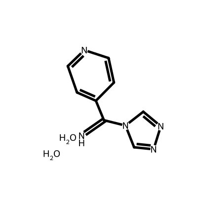 N=C(c1ccncc1)n1cnnc1.O.O